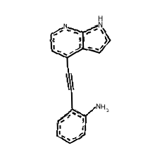 Nc1ccccc1C#Cc1ccnc2[nH]ccc12